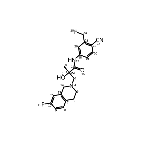 C[C@](O)(CN1CCc2ccc(F)cc2C1)C(=O)Nc1ccc(C#N)c(CF)c1